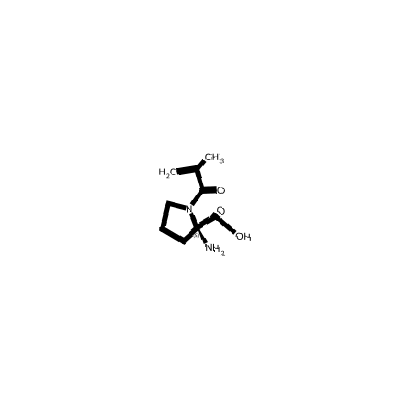 C=C(C)C(=O)N1CCC[C@@]1(N)C(=O)O